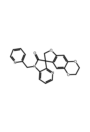 O=C1N(Cc2ccccn2)c2cccnc2C12COc1cc3c(cc12)OCCO3